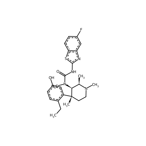 CCc1ccc(O)cc1[C@@]1(C)CCN(C)[C@H](C)[C@@H]1N(C)C(=O)Nc1nc2cc(F)ccc2s1